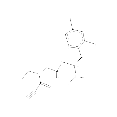 C#CC(=O)N(CC)CC(=O)N[C@@H](Cc1ccc(C)cc1C)B(O)O